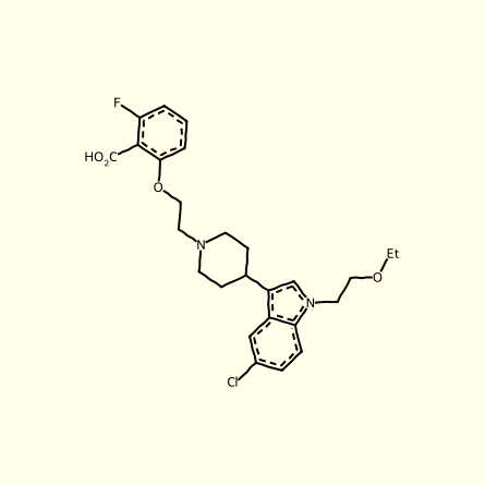 CCOCCn1cc(C2CCN(CCOc3cccc(F)c3C(=O)O)CC2)c2cc(Cl)ccc21